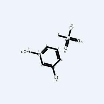 CCCCCCCC[n+]1cccc(CC)c1.CS(=O)(=O)[O-]